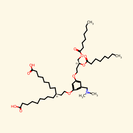 CCCCCCCC(=O)OC[C@H](CCOc1cc(CN(C)C)cc(OCC[C@@H](CCCCCCCCC(=O)O)CCCCCCCC(=O)O)c1)OC(=O)CCCCCCC